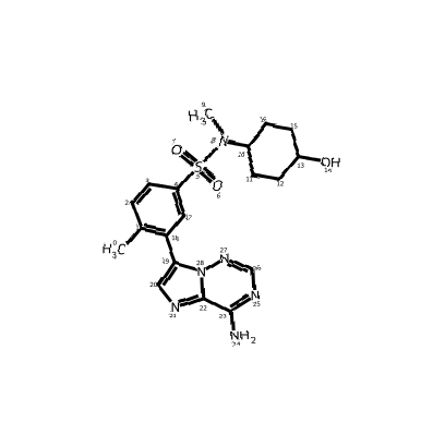 Cc1ccc(S(=O)(=O)N(C)C2CCC(O)CC2)cc1-c1cnc2c(N)ncnn12